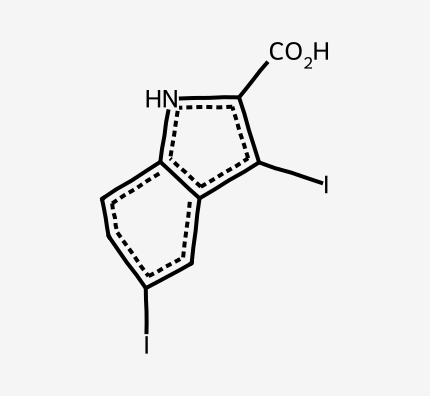 O=C(O)c1[nH]c2ccc(I)cc2c1I